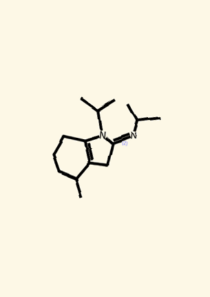 CC(C)/N=C1/CC2=C(CCCC2C)N1C(C)C